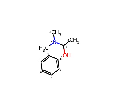 CC(O)N(C)C.c1ccccc1